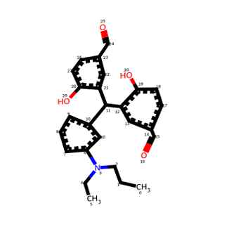 CCCN(CC)c1cccc(C(c2cc(C=O)ccc2O)c2cc(C=O)ccc2O)c1